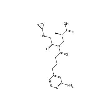 C[C@H](CN(C(=O)CCCc1ccnc(N)c1)C(=O)CNC1CC1)C(=O)O